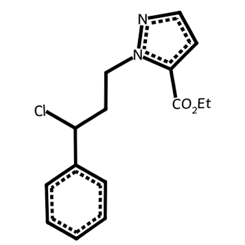 CCOC(=O)c1ccnn1CCC(Cl)c1ccccc1